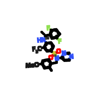 COc1ccc(CN(c2ccncn2)S(=O)(=O)c2ccc(N[C@@H](C)c3cc(F)ccc3F)c(C(F)(F)F)c2)c(C)c1